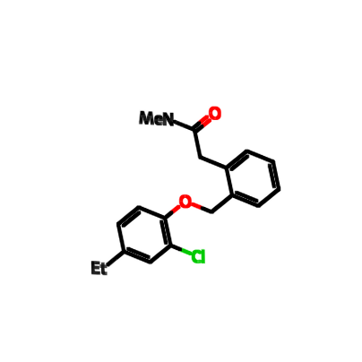 CCc1ccc(OCc2ccccc2CC(=O)NC)c(Cl)c1